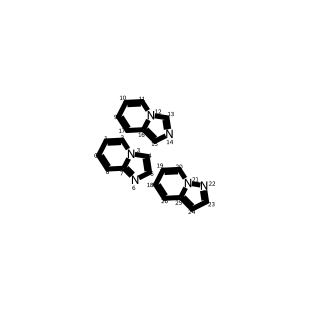 c1ccn2ccnc2c1.c1ccn2cncc2c1.c1ccn2nccc2c1